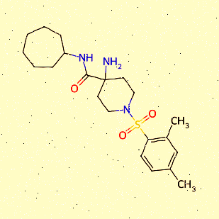 Cc1ccc(S(=O)(=O)N2CCC(N)(C(=O)NC3CCCCCC3)CC2)c(C)c1